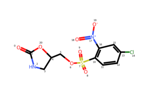 O=C1NCC(COS(=O)(=O)c2ccc(Cl)cc2[N+](=O)[O-])O1